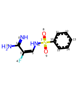 N=C(N)/C(F)=C\NS(=O)(=O)c1ccccc1